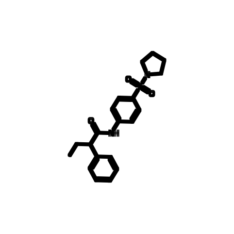 CCC(C(=O)Nc1ccc(S(=O)(=O)N2CCCC2)cc1)c1ccccc1